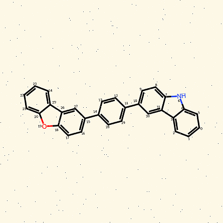 c1ccc2c(c1)[nH]c1ccc(-c3ccc(-c4ccc5oc6ccccc6c5c4)cc3)cc12